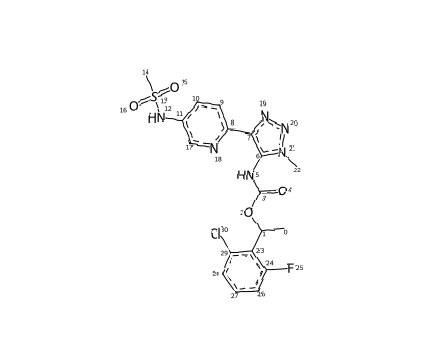 CC(OC(=O)Nc1c(-c2ccc(NS(C)(=O)=O)cn2)nnn1C)c1c(F)cccc1Cl